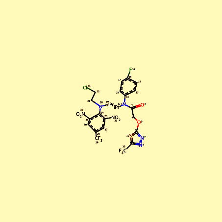 CC(C)N(C(=O)COc1nnc(C(F)(F)F)s1)c1ccc(F)cc1.CCCN(CCCl)c1c([N+](=O)[O-])cc(C(F)(F)F)cc1[N+](=O)[O-]